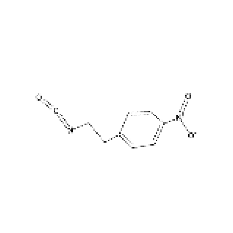 O=C=NCCc1ccc([N+](=O)[O-])cc1